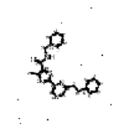 Cc1nc(-c2cncc(CCc3ccccc3)n2)sc1C(=O)NCc1ccccc1